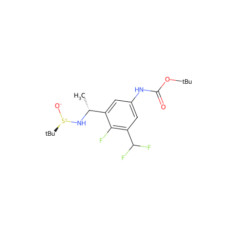 C[C@@H](N[S@+]([O-])C(C)(C)C)c1cc(NC(=O)OC(C)(C)C)cc(C(F)F)c1F